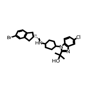 CC(C)(O)c1nc2cc(Cl)ccc2n1C1CCC(NC[C@H]2Cc3ccc(Br)cc3C2)CC1